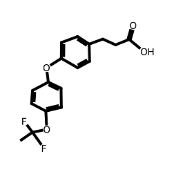 CC(F)(F)Oc1ccc(Oc2ccc(CCC(=O)O)cc2)cc1